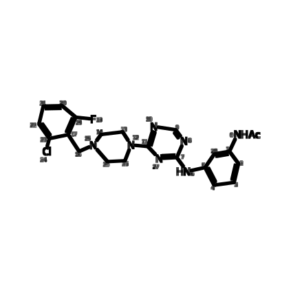 CC(=O)Nc1cccc(Nc2ncnc(N3CCN(Cc4c(F)cccc4Cl)CC3)n2)c1